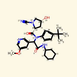 COc1cncc(C(C(=O)NC2CCCCC2)N(C(=O)[C@H]2C[C@@H](O)CN2C#N)c2ccc(C(C)(C)C)cc2)c1